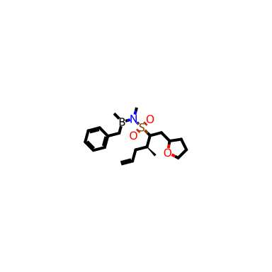 C=CC[C@H](C)C(CC1CCCO1)S(=O)(=O)N(C)B(C)Cc1ccccc1